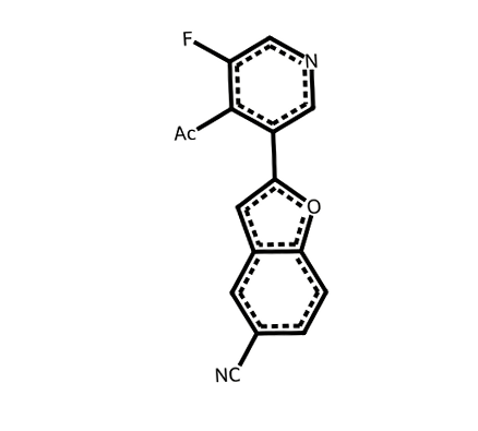 CC(=O)c1c(F)cncc1-c1cc2cc(C#N)ccc2o1